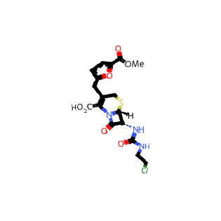 COC(=O)c1ccc(CC2=C(C(=O)O)N3C(=O)[C@@H](NC(=O)NCCCl)[C@H]3SC2)o1